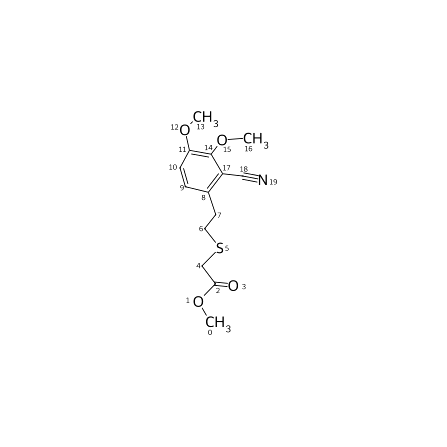 COC(=O)CSCCc1ccc(OC)c(OC)c1C#N